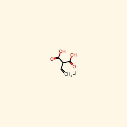 C=CC(C(=O)O)C(=O)O.[Li]